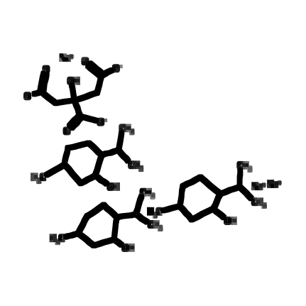 CC1CCC(C(C)C)C(O)C1.CC1CCC(C(C)C)C(O)C1.CC1CCC(C(C)C)C(O)C1.O=C([O-])CC(O)(CC(=O)[O-])C(=O)[O-].[Na+].[Na+].[Na+]